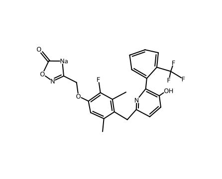 Cc1cc(OC[C]2=NO[C](=O)[Na]2)c(F)c(C)c1Cc1ccc(O)c(-c2ccccc2C(F)(F)F)n1